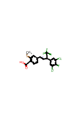 CSc1cc(/C=C/C(c2cc(Cl)c(F)c(Cl)c2)C(F)(F)F)ccc1C(=O)O